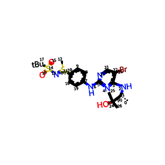 C[C@@H](Nc1nc(Nc2ccc([S@](C)=NS(=O)(=O)C(C)(C)C)cc2)ncc1Br)C(C)(C)O